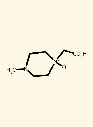 CN1CC[N+]([O-])(CC(=O)O)CC1